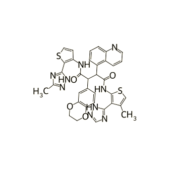 Cc1n[nH]c(-c2sccc2NC(=O)C(c2ccc3c(c2)OCCO3)C(C(=O)Nc2scc(C)c2-c2ncn[nH]2)c2cccc3ncccc23)n1